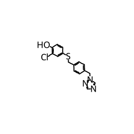 Oc1ccc(SCc2ccc(Cn3cncn3)cc2)cc1Cl